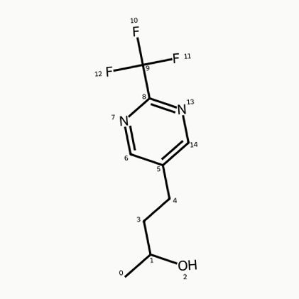 CC(O)CCc1cnc(C(F)(F)F)nc1